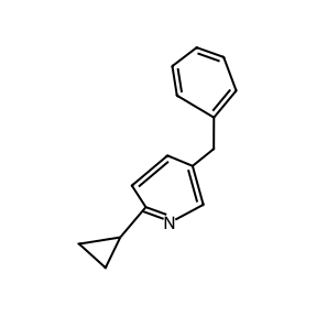 c1ccc(Cc2ccc(C3CC3)nc2)cc1